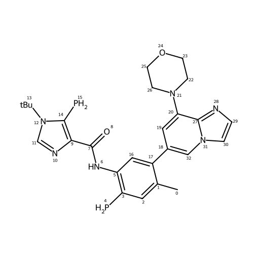 Cc1cc(P)c(NC(=O)c2ncn(C(C)(C)C)c2P)cc1-c1cc(N2CCOCC2)c2nccn2c1